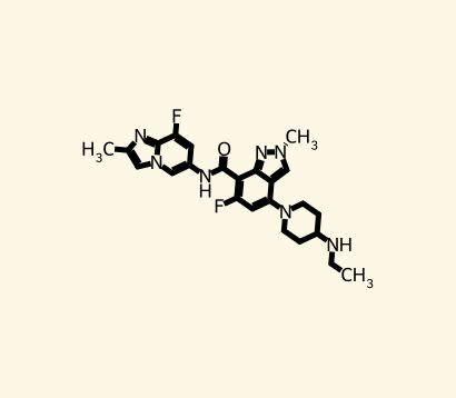 CCNC1CCN(c2cc(F)c(C(=O)Nc3cc(F)c4nc(C)cn4c3)c3nn(C)cc23)CC1